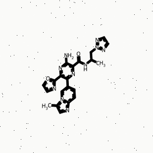 Cc1cnc2ccc(-c3nc(C(=O)NC(C)Cn4nccn4)c(N)nc3-c3ncco3)cn12